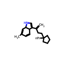 C=C(CCC1(CCC)CCCC1)C1=CNC2C=C(C)C=CC12